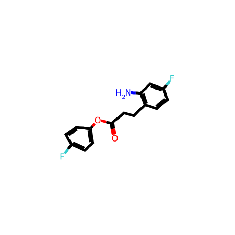 Nc1cc(F)ccc1CCC(=O)Oc1ccc(F)cc1